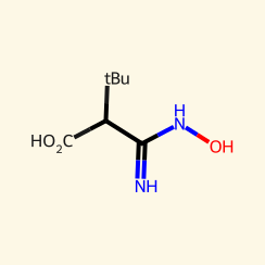 CC(C)(C)C(C(=N)NO)C(=O)O